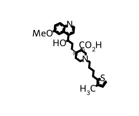 COc1ccc2nccc(C(O)CC[C@@H]3CCN(CCCCc4sccc4C)C[C@@H]3C(=O)O)c2c1